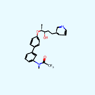 C[C@H](Oc1ccc(-c2cccc(N(C)C(=O)C(F)(F)F)c2)cc1)[C@H](O)CCc1cccnc1